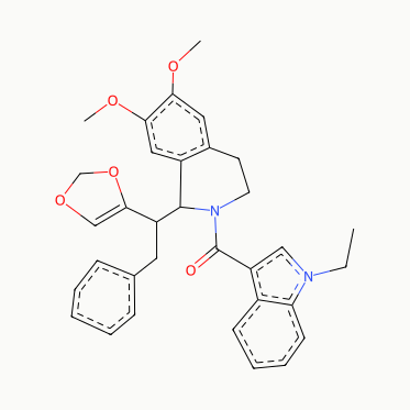 CCn1cc(C(=O)N2CCc3cc(OC)c(OC)cc3C2C(Cc2ccccc2)C2=COCO2)c2ccccc21